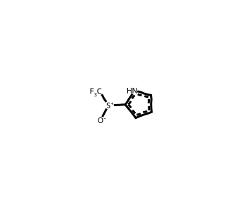 [O-][S+](c1ccc[nH]1)C(F)(F)F